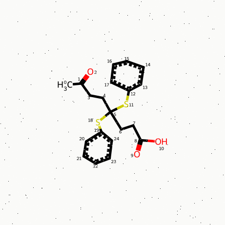 CC(=O)CCC(CCC(=O)O)(Sc1ccccc1)Sc1ccccc1